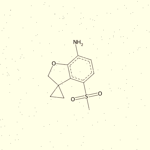 CS(=O)(=O)c1ccc(N)c2c1C1(CC1)CO2